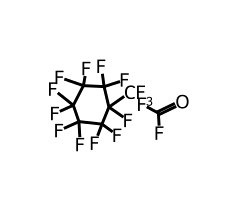 FC(F)(F)C1(F)C(F)(F)C(F)(F)C(F)(F)C(F)(F)C1(F)F.O=C(F)F